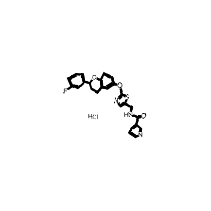 Cl.O=C(NCc1cnc(Oc2ccc3c(c2)CCC(c2cccc(F)c2)O3)s1)c1cccnc1